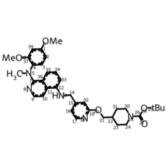 COc1ccc(N(C)c2nccc3c(NCc4ccnc(OCC5CCN(C(=O)OC(C)(C)C)CC5)c4)cccc23)c(OC)c1